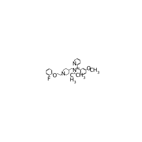 COc1cccc([C@@H](c2ccccn2)N(CC2CCN(CCOc3ccccc3F)CC2)C(C)C)c1